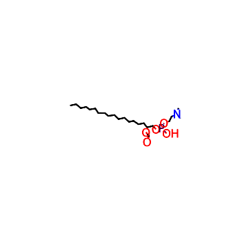 CCCCCCCCCCCCCCCCC(COP(O)OCCN(C)C)OC=O